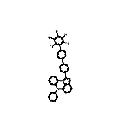 [2H]c1c([2H])c([2H])c(-c2ccc(-c3ccc(-c4nc5cccc6c5n4-c4ccccc4N6c4ccccc4)cc3)cc2)c([2H])c1[2H]